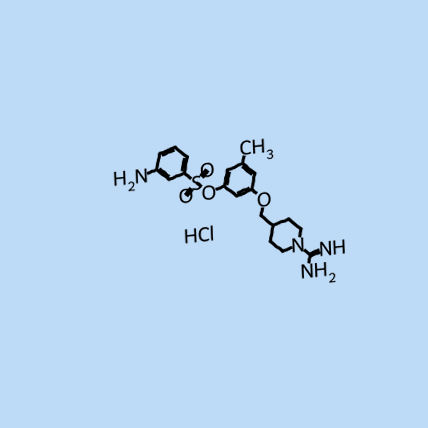 Cc1cc(OCC2CCN(C(=N)N)CC2)cc(OS(=O)(=O)c2cccc(N)c2)c1.Cl